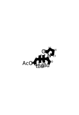 CC(=O)O[C@@H](CC(C)(C)C(C)(C)C(CC(C)(C)C)N1CCCC1=O)C(C)(C)C